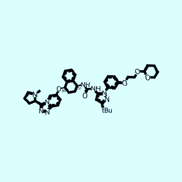 CN1CCCC1c1nnc2ccc(O[C@@H]3CC[C@H](NC(=O)Nc4cc(C(C)(C)C)nn4-c4cccc(OCCOC5CCCCO5)c4)c4ccccc43)cn12